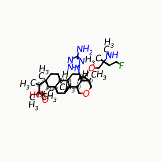 CNC(C)(CCF)COC1[C@H](n2nnc(N)n2)C[C@@]23COC[C@]1(C)[C@@H]2CC[C@H]1C3=CC[C@@]2(C)[C@H](C(=O)O)[C@@](C)([C@H](C)C(C)C)CC[C@]12C